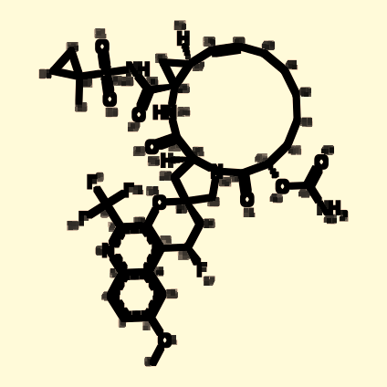 COc1ccc2nc(C(F)(F)F)c3c(c2c1)[C@H](F)C[C@]1(C[C@H]2C(=O)N[C@]4(C(=O)NS(=O)(=O)C5(C)CC5)C[C@H]4/C=C\CCCCC[C@H](OC(N)=O)C(=O)N2C1)O3